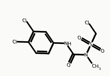 CN(C(=O)Nc1ccc(Cl)c(Cl)c1)S(=O)(=O)CCl